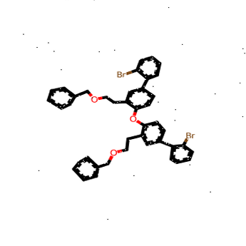 Brc1ccccc1-c1ccc(Oc2ccc(-c3ccccc3Br)cc2CCOCc2ccccc2)c(CCOCc2ccccc2)c1